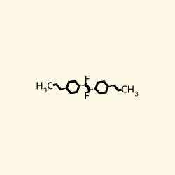 CCC[C@H]1CC[C@H](C(F)=C(F)[C@H]2CC[C@H](CCC)CC2)CC1